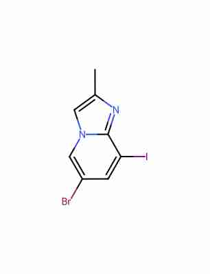 Cc1cn2cc(Br)cc(I)c2n1